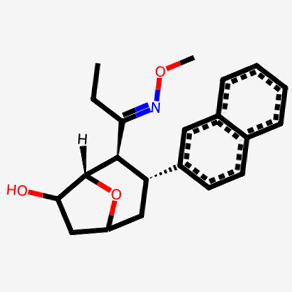 CCC(=NOC)[C@@H]1[C@@H]2OC(CC2O)C[C@H]1c1ccc2ccccc2c1